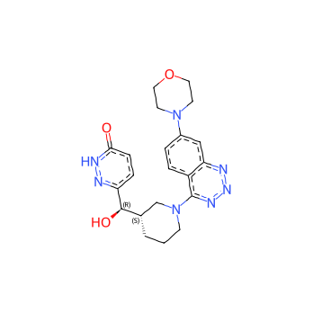 O=c1ccc([C@H](O)[C@H]2CCCN(c3nnnc4cc(N5CCOCC5)ccc34)C2)n[nH]1